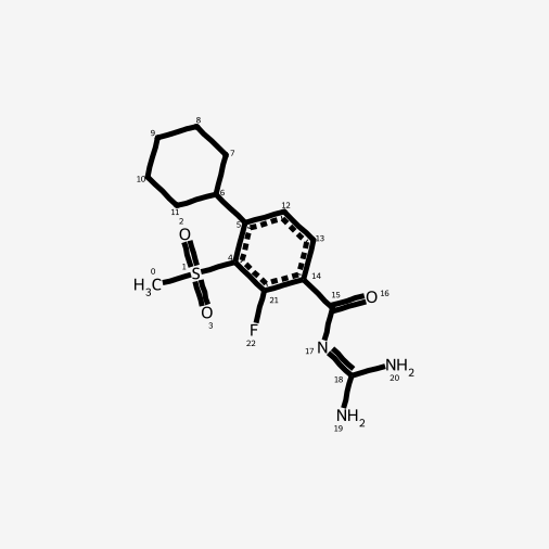 CS(=O)(=O)c1c(C2CCCCC2)ccc(C(=O)N=C(N)N)c1F